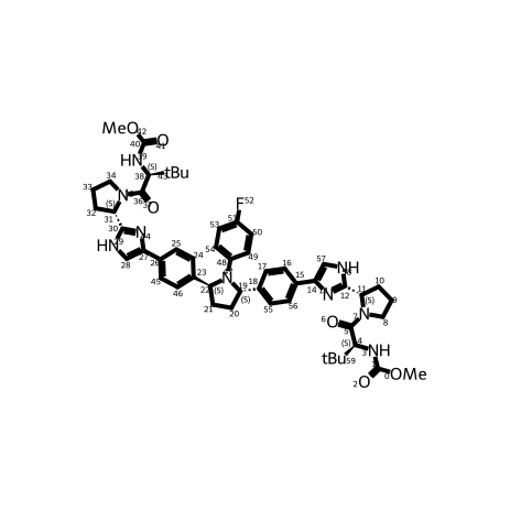 COC(=O)N[C@H](C(=O)N1CCC[C@H]1c1nc(-c2ccc([C@@H]3CC[C@@H](c4ccc(-c5c[nH]c([C@@H]6CCCN6C(=O)[C@@H](NC(=O)OC)C(C)(C)C)n5)cc4)N3c3ccc(F)cc3)cc2)c[nH]1)C(C)(C)C